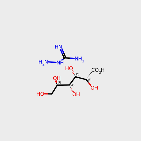 N=C(N)NN.O=C(O)[C@H](O)[C@@H](O)[C@H](O)[C@H](O)CO